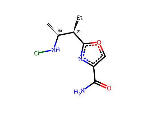 CC[C@@H](c1nc(C(N)=O)co1)[C@@H](C)NCl